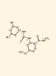 CNC(=O)c1ccc(OC)cc1NC(=O)Nc1cc(Br)cc(Br)c1